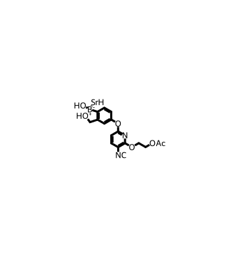 [C-]#[N+]c1ccc(Oc2ccc3c(c2)C[OH+][B-]3(O)[SrH])nc1OCCOC(C)=O